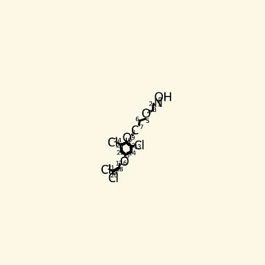 ON=CCOCCCCCOc1c(Cl)cc(OCC=C(Cl)Cl)cc1Cl